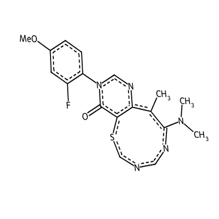 COc1ccc(-n2cnc3c(C)c(N(C)C)ncncsc3c2=O)c(F)c1